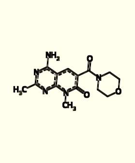 Cc1nc(N)c2cc(C(=O)N3CCOCC3)c(=O)n(C)c2n1